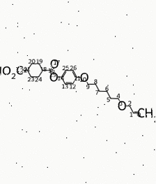 C=CCOCCCCCCOc1ccc(OC(=O)C2CCC(C(=O)O)CC2)cc1